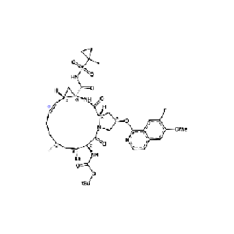 CC[C@@H]1C[C@H](C)CC/C=C\[C@@H]2C[C@@]2(C(=O)NS(=O)(=O)C2(C)CC2)NC(=O)[C@@H]2C[C@@H](Oc3nccc4cc(OC)c(F)cc34)CN2C(=O)[C@H]1NC(=O)OC(C)(C)C